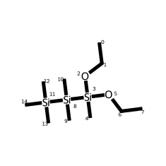 CCO[Si](C)(OCC)[Si](C)(C)[Si](C)(C)C